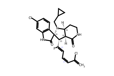 C=C(Cl)/C=C\C=C(/F)[C@H]1[C@@H]2C(=O)NCC[C@@H]2N(CC2CC2)[C@@]12C(=O)Nc1cc(Cl)ccc12